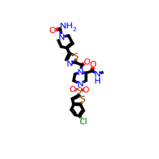 CNC(=O)C1CN(S(=O)(=O)c2cc3ccc(Cl)cc3s2)CCN1C(=O)c1ncc(C2=CCN(C(N)=O)CC2)s1